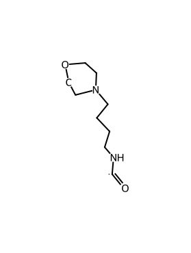 O=[C]NCCCCN1CCOCC1